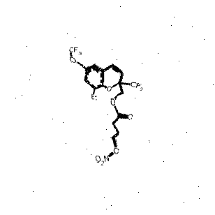 CCc1cc(OC(F)(F)F)cc2c1OC(COC(=O)CCCO[N+](=O)[O-])(C(F)(F)F)C=C2